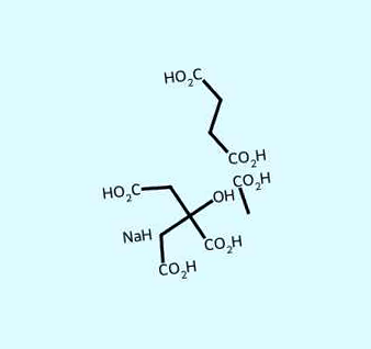 CC(=O)O.O=C(O)CC(O)(CC(=O)O)C(=O)O.O=C(O)CCC(=O)O.[NaH]